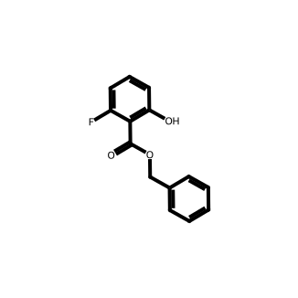 O=C(OCc1ccccc1)c1c(O)cccc1F